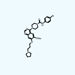 COc1cc2c(N3CCN(C(=O)Nc4ccc(Br)cc4)CC3)ncnc2cc1OCCCN1CCCC1